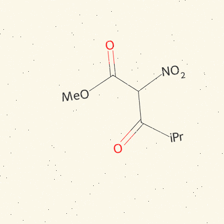 COC(=O)C(C(=O)C(C)C)[N+](=O)[O-]